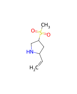 C=CC1CC(S(C)(=O)=O)CN1